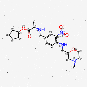 CC(NCc1ccc(NCC2CN(C)CCO2)c([N+](=O)[O-])c1)C(=O)OC1CCCC1